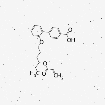 C=CC(=O)OC(CC)CCCOc1ccccc1-c1ccc(C(=O)O)cc1